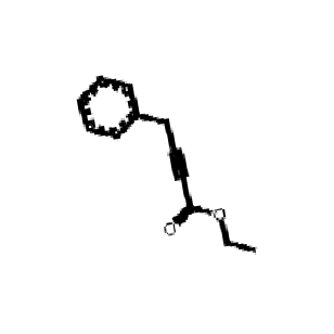 CCOC(=O)C#CCc1ccccc1